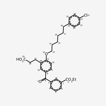 CCOC(=O)c1cccc(C(=O)c2ccc(OCCCCCCc3ccc(Cl)cc3)c(CCC(=O)O)c2)c1